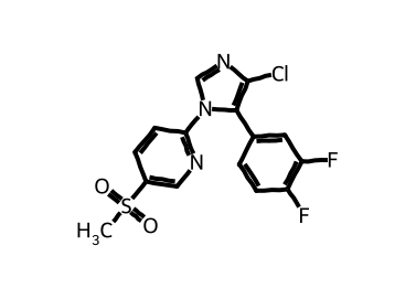 CS(=O)(=O)c1ccc(-n2cnc(Cl)c2-c2ccc(F)c(F)c2)nc1